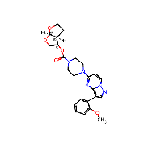 COc1ccccc1-c1cnn2ccc(N3CCN(C(=O)O[C@H]4CO[C@H]5OCC[C@H]54)CC3)nc12